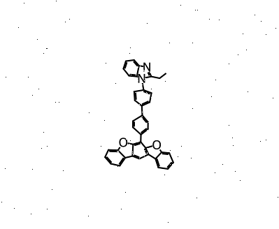 CCc1nc2ccccc2n1-c1ccc(-c2ccc(-c3c4oc5ccccc5c4cc4c3oc3ccccc34)cc2)cc1